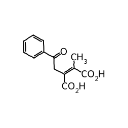 CC(C(=O)O)=C(CC(=O)c1ccccc1)C(=O)O